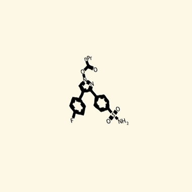 CCCC(=O)On1cc(-c2ccc(F)cc2)c(-c2ccc(S(N)(=O)=O)cc2)n1